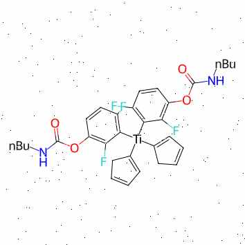 CCCCNC(=O)Oc1ccc(F)[c]([Ti]([C]2=CC=CC2)([C]2=CC=CC2)[c]2c(F)ccc(OC(=O)NCCCC)c2F)c1F